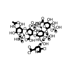 CC(=O)N[C@@H]1[C@@H](O)[C@H](O[C@@H]2O[C@H](C(=O)O)[C@@H](O[C@@H]3O[C@H](CO)[C@@H](O[C@H]4O[C@@H](C(=O)O)[C@H](O)[C@@H](O)[C@@H]4OS(=O)(=O)O)[C@H](OS(=O)(=O)O)[C@H]3NS(=O)(=O)O)[C@H](O)[C@H]2OS(=O)(=O)O)[C@H](COS(=O)(=O)O)O[C@H]1O.O=C(Cl)c1ccc(Cl)cn1